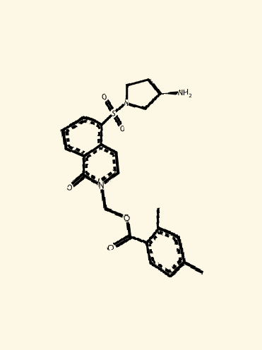 Cc1ccc(C(=O)OCn2ccc3c(S(=O)(=O)N4CC[C@@H](N)C4)cccc3c2=O)c(C)c1